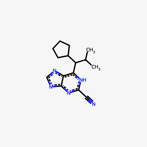 C[C](C)C(c1[nH]c(C#N)nc2ncnc1-2)C1CCCC1